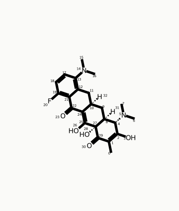 CC1=C(O)[C@@H](N(C)C)[C@@H]2C[C@@H]3Cc4c(N(C)C)ccc(F)c4C(=O)C3=C(O)[C@]2(O)C1=O